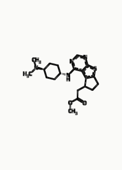 COC(=O)CC1CCc2sc3ncnc(N[C@H]4CC[C@H](N(C)C)CC4)c3c21